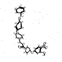 COc1cc(OC2CCN(C(=O)CCN3CCN(c4ccc(OCc5ccccc5)cc4)CC3)CC2)ccc1[N+](=O)[O-]